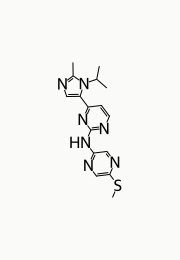 CSc1cnc(Nc2nccc(-c3cnc(C)n3C(C)C)n2)cn1